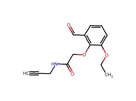 C#CCNC(=O)COc1c(C=O)cccc1OCC